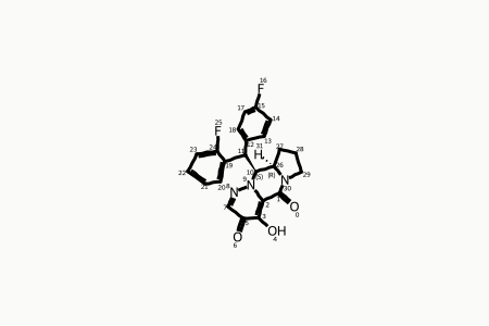 O=C1c2c(O)c(=O)cnn2[C@@H](C(c2ccc(F)cc2)c2ccccc2F)[C@H]2CCCN12